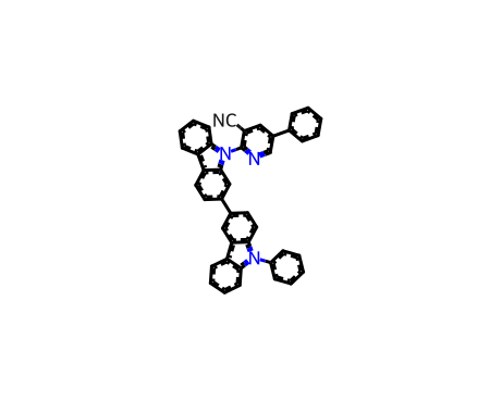 N#Cc1cc(-c2ccccc2)cnc1-n1c2ccccc2c2ccc(-c3ccc4c(c3)c3ccccc3n4-c3ccccc3)cc21